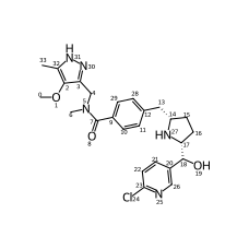 COc1c(CN(C)C(=O)c2ccc(C[C@@H]3CC[C@H](C(O)c4ccc(Cl)nc4)N3)cc2)n[nH]c1C